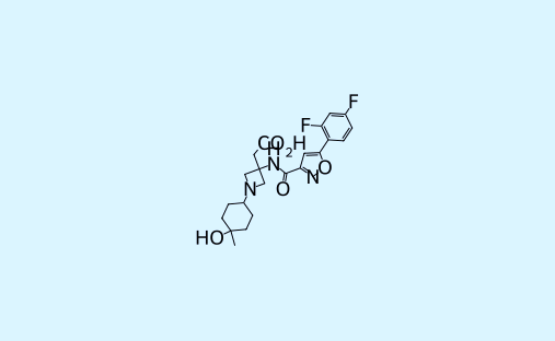 CC1(O)CCC(N2CC(CC(=O)O)(NC(=O)c3cc(-c4ccc(F)cc4F)on3)C2)CC1